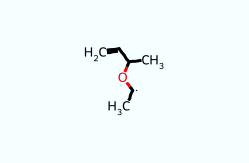 C=CC(C)O[CH]C